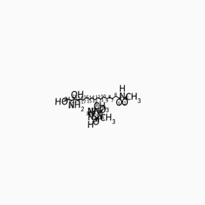 CC(=O)NC(=O)CCCCCCCCCCCCC=CC(O)C(N)CO.Cn1c(=O)c2[nH]cnc2n(C)c1=O